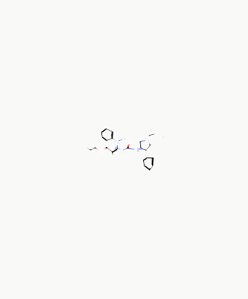 C/C(=C(\NC(=O)N[C@H]1CN(CC(F)(F)F)C[C@@H]1c1ccccc1)N(N)c1ccccc1)C(C)OCCF